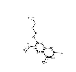 CCCCOc1cc2nc(I)nc(Cl)c2cc1OC